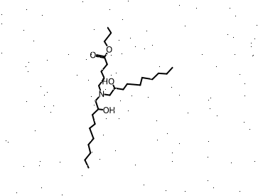 CCCCCCCCC(O)CN(CCCCC(=O)OCCC)CC(O)CCCCCCCC